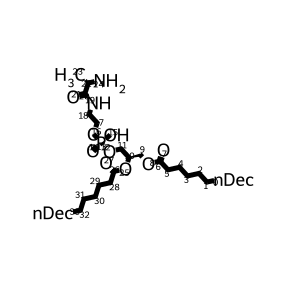 CCCCCCCCCCCCCCCC(=O)OC[C@H](COP(=O)(O)OCCNC(=O)[C@@H](C)N)OC(=O)CCCCCCCCCCCCCCC